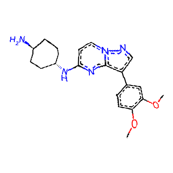 COc1ccc(-c2cnn3ccc(N[C@H]4CC[C@H](N)CC4)nc23)cc1OC